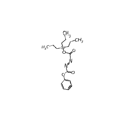 CCC[Si](CCC)(CCC)OC(=O)N=NC(=O)Oc1ccccc1